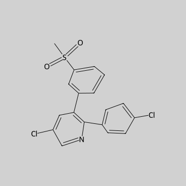 CS(=O)(=O)c1cccc(-c2cc(Cl)cnc2-c2ccc(Cl)cc2)c1